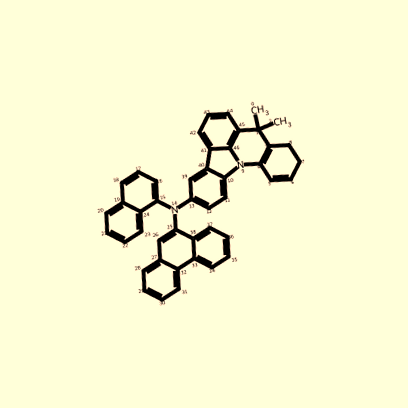 CC1(C)C2=C(C=CCC2)n2c3ccc(N(c4cccc5ccccc45)c4cc5ccccc5c5ccccc45)cc3c3cccc1c32